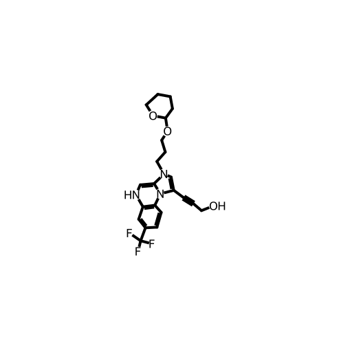 OCC#CC1=CN(CCCOC2CCCCO2)C2=CNc3cc(C(F)(F)F)ccc3N12